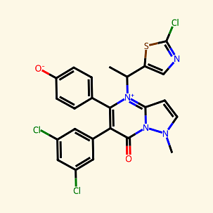 CC(c1cnc(Cl)s1)[n+]1c(-c2ccc([O-])cc2)c(-c2cc(Cl)cc(Cl)c2)c(=O)n2c1ccn2C